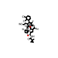 CC(=O)c1nc2c(F)c(-c3cccc(Cl)c3Cl)c(CCC#N)cc2c2c1cc([C@@H](C)NC(=O)C1(C)CC1)n2[C@H]1[C@@H]2C[C@H]1N(C(=O)OC(C)(C)C)C2